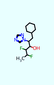 CC(F)C(F)C(O)C(CC1CCCCC1)n1cncn1